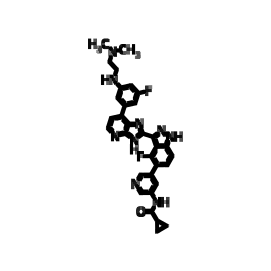 CN(C)CCNc1cc(F)cc(-c2ccnc3[nH]c(-c4n[nH]c5ccc(-c6cncc(NC(=O)C7CC7)c6)c(F)c45)nc23)c1